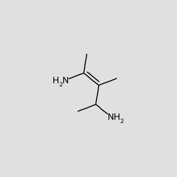 C/C(N)=C(\C)C(C)N